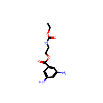 CCOC(=O)NCCOC(=O)c1cc(N)cc(N)c1